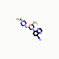 C[C@@H]1CN(c2ccc(C#N)c3nccnc23)C[C@H](CN2CCN(C)CC2)O1